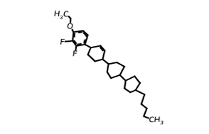 CCCCCC1CCC(C2CCC(C3C=CC(c4ccc(OCC)c(F)c4F)CC3)CC2)CC1